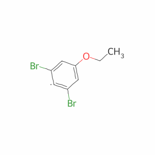 CCOc1cc(Br)[c]c(Br)c1